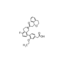 CCOc1cc(CC(=O)O)ccc1-c1ccc(F)c2c1CN(C(=O)CC1OCCc3ccccc31)CC2